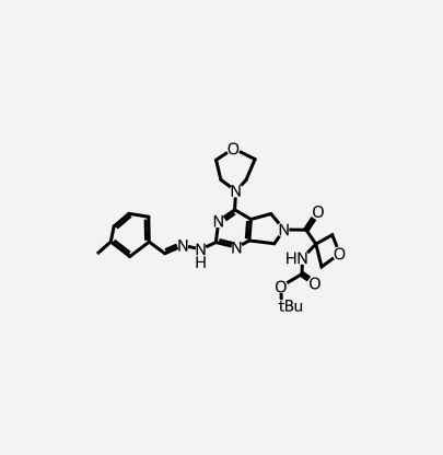 Cc1cccc(/C=N/Nc2nc3c(c(N4CCOCC4)n2)CN(C(=O)C2(NC(=O)OC(C)(C)C)COC2)C3)c1